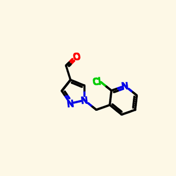 O=Cc1cnn(Cc2cccnc2Cl)c1